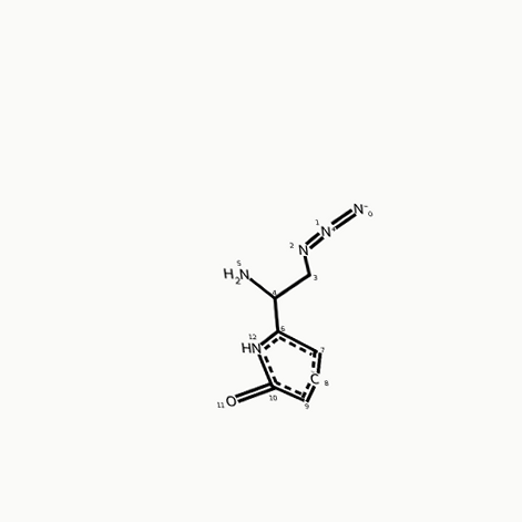 [N-]=[N+]=NCC(N)c1cccc(=O)[nH]1